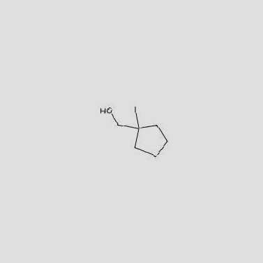 OCC1(I)CCCC1